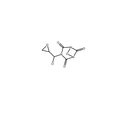 O=c1n(C(Cl)C2CO2)c(=O)n2on1c2=O